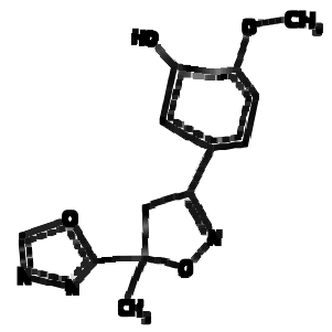 COc1ccc(C2=NOC(C)(c3nnco3)C2)cc1O